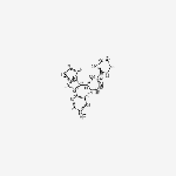 Fc1ccc(-c2nc3sccn3c2-c2ccnc(N3CCCCC3)n2)cc1